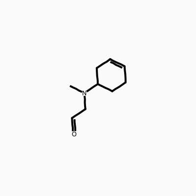 CN(CC=O)C1CC=CCC1